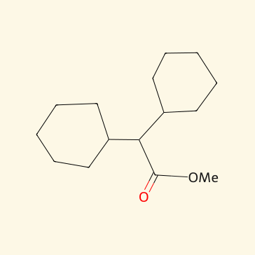 [CH2]OC(=O)C(C1CCCCC1)C1CCCCC1